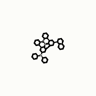 c1ccc(N(c2ccccc2)c2cc3c4c(c2)c2cc(-c5cccc6ccccc56)cc5c2n4B(c2ccccc2-5)c2ccccc2-3)cc1